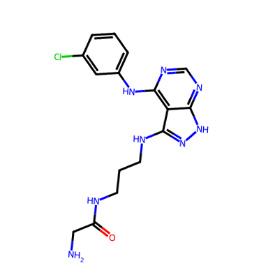 NCC(=O)NCCCNc1n[nH]c2ncnc(Nc3cccc(Cl)c3)c12